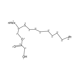 CCCCCCC(COC(=O)CO)SCCCCCCCC(C)C